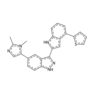 Cc1ncc(-c2ccc3[nH]nc(-c4cc5c(-c6cccs6)cccc5[nH]4)c3c2)n1C